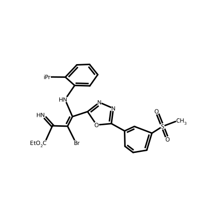 CCOC(=O)C(=N)/C(Br)=C(\Nc1ccccc1C(C)C)c1nnc(-c2cccc(S(C)(=O)=O)c2)o1